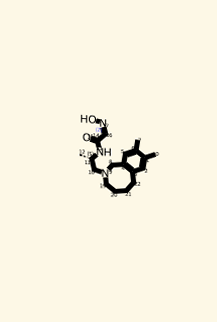 Cc1cc2c(cc1C)CN(C[C@H](C)NC(=O)/C=N\O)CCCC2